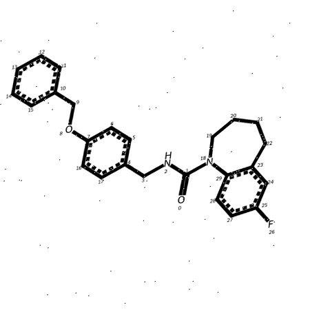 O=C(NCc1ccc(OCc2ccccc2)cc1)N1CCCCc2cc(F)ccc21